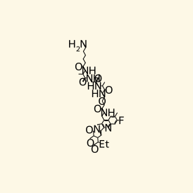 CCC1C(=O)OCC2C(=O)N3Cc4c(nc5cc(F)c(C)cc5c4CNC(=O)COCNC(=O)C(C)NC(=O)CNC(=O)C(C)NC(=O)CCCCCN)C3=CC12